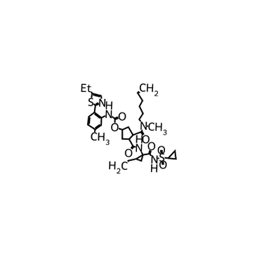 C=CCCCCN(C)C(=O)C1CC(OC(=O)Nc2cc(C)ccc2-c2ncc(CC)s2)CC1C(=O)NC1(C(=O)NS(=O)(=O)C2CC2)CC1C=C